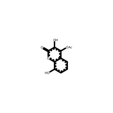 CC(=O)Oc1c(O)c(=O)oc2c(O)cccc12